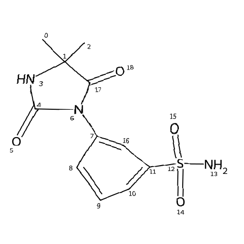 CC1(C)NC(=O)N(c2cccc(S(N)(=O)=O)c2)C1=O